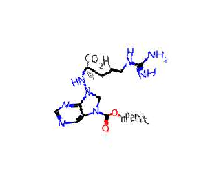 CCCCCOC(=O)N1CN(N[C@@H](CCCNC(=N)N)C(=O)O)c2ncncc21